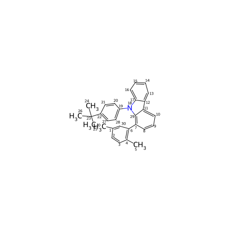 Cc1ccc(C)c(-c2cccc3c4ccccc4n(-c4ccc(C(C)(C)C)cc4)c23)c1